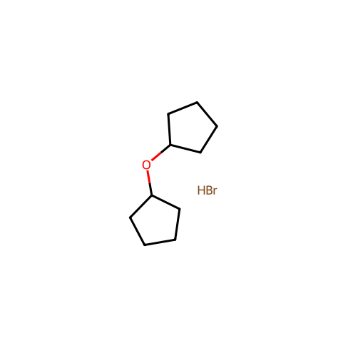 Br.C1CCC(OC2CCCC2)C1